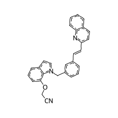 N#CCOc1cccc2ccn(Cc3cccc(C=Cc4ccc5ccccc5n4)c3)c12